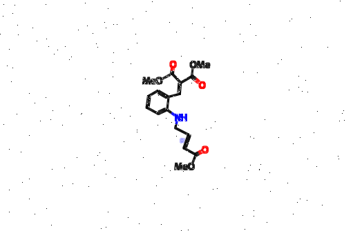 COC(=O)/C=C/CNc1ccccc1C=C(C(=O)OC)C(=O)OC